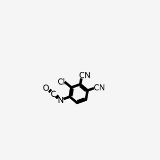 N#Cc1ccc(N=C=O)c(Cl)c1C#N